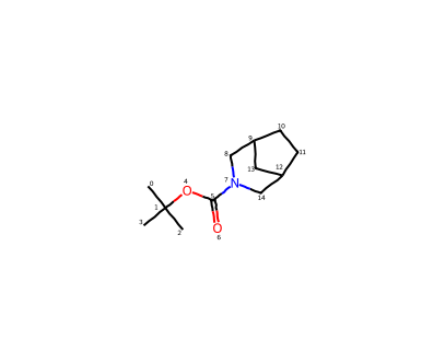 CC(C)(C)OC(=O)N1CC2CCC(C2)C1